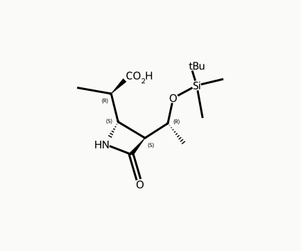 C[C@@H](O[Si](C)(C)C(C)(C)C)[C@H]1C(=O)N[C@@H]1[C@@H](C)C(=O)O